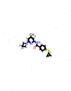 Cc1cc(NC(=O)c2ccc(SC3CC3)cc2)nc(N2CC(F)(F)C2)c1